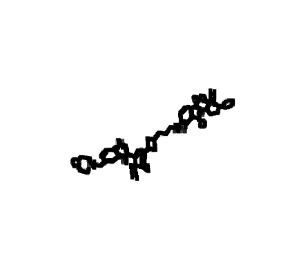 N=C(/C(=C\NC1CC(CCCNc2ccc3c(c2)C(=O)N(C2CCC(=O)NC2=O)C3=O)C1)c1cnc2ccc(CN3CCOCC3)cc2n1)C1CC1